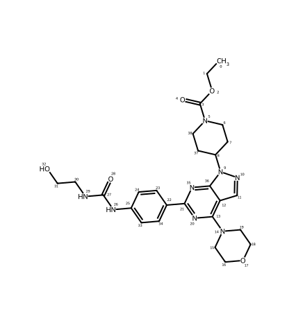 CCOC(=O)N1CCC(n2ncc3c(N4CCOCC4)nc(-c4ccc(NC(=O)NCCO)cc4)nc32)CC1